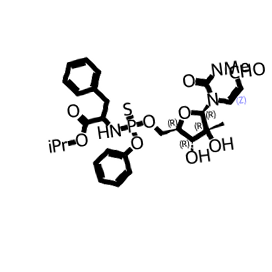 CNC(=O)N(/C=C\C=O)[C@@H]1O[C@H](COP(=S)(NC(Cc2ccccc2)C(=O)OC(C)C)Oc2ccccc2)[C@@H](O)[C@@]1(C)O